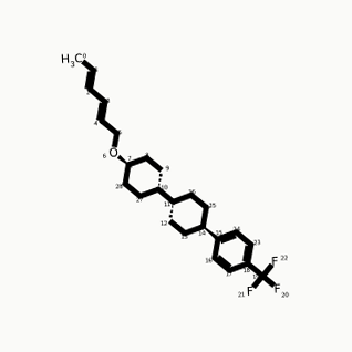 CC=CC=CCO[C@H]1CC[C@H]([C@H]2CC[C@H](c3ccc(C(F)(F)F)cc3)CC2)CC1